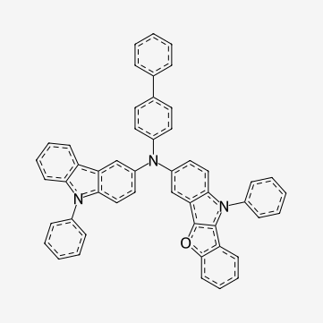 c1ccc(-c2ccc(N(c3ccc4c(c3)c3ccccc3n4-c3ccccc3)c3ccc4c(c3)c3oc5ccccc5c3n4-c3ccccc3)cc2)cc1